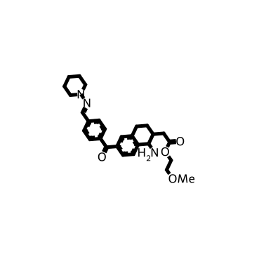 COCCOC(=O)CC1CCc2cc(C(=O)c3ccc(C=NN4CCCCC4)cc3)ccc2C1N